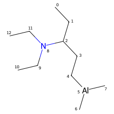 CCC(C[CH2][Al]([CH3])[CH3])N(CC)CC